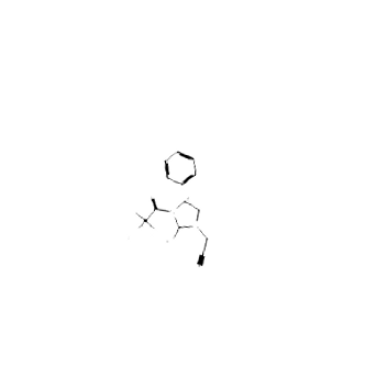 C#CCN1C[C@@H](c2ccccc2)N(C(=O)C(C)(C)CC)C1O